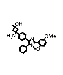 COc1ccc2c(c1)-c1nc(-c3ccc(C4(N)CC(C)(O)C4)cc3)c(-c3ccccc3)n1CO2